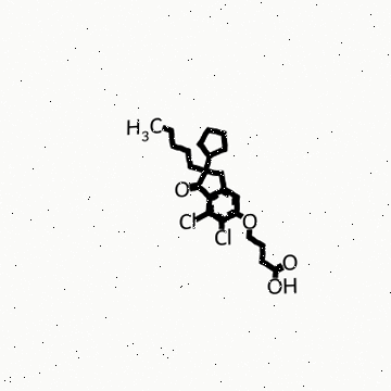 CCCCCC1(C2CCCC2)Cc2cc(OCCCC(=O)O)c(Cl)c(Cl)c2C1=O